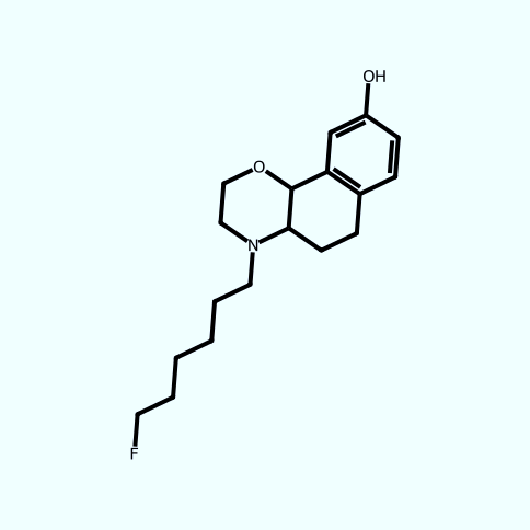 Oc1ccc2c(c1)C1OCCN(CCCCCCF)C1CC2